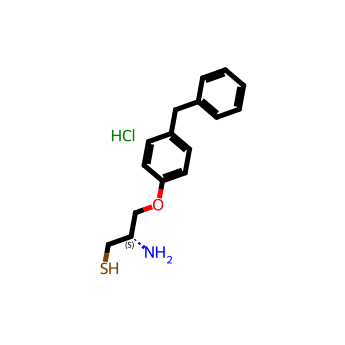 Cl.N[C@H](CS)COc1ccc(Cc2ccccc2)cc1